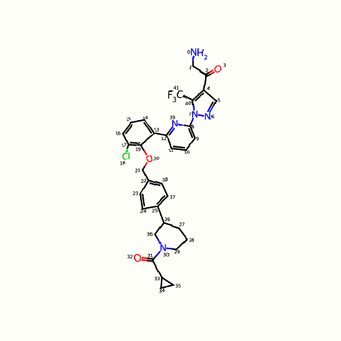 NCC(=O)c1cnn(-c2cccc(-c3cccc(Cl)c3OCc3ccc(C4CCCN(C(=O)C5CC5)C4)cc3)n2)c1C(F)(F)F